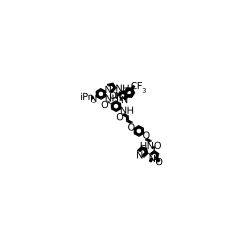 CC(C)N(C)[C@@H]1CC[C@H](N2CC[C@H](Nc3ncnc4ccc(C(F)(F)F)cc34)C2=O)[C@H](NC(=O)[C@H]2CC[C@H](NC(=O)CCCO[C@H]3CC[C@H](OCCNC(=O)[C@H]4CC(=O)N(C)[C@@H]4c4cccnc4)CC3)CC2)C1